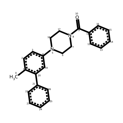 Cc1ccc(N2CCN(C(=O)c3ccccc3)CC2)cc1-c1ccccc1